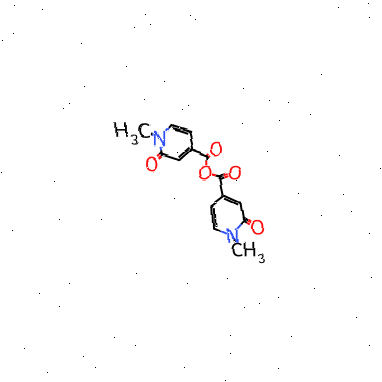 Cn1ccc(C(=O)OC(=O)c2ccn(C)c(=O)c2)cc1=O